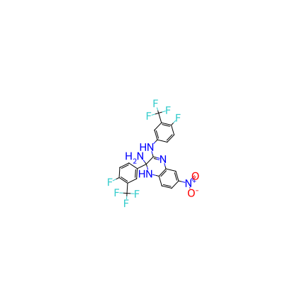 NC1(c2ccc(F)c(C(F)(F)F)c2)Nc2ccc([N+](=O)[O-])cc2N=C1Nc1ccc(F)c(C(F)(F)F)c1